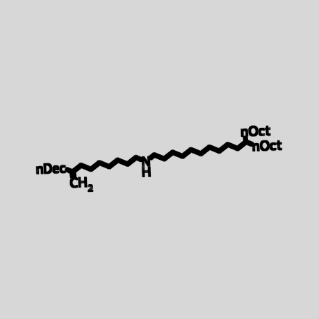 C=C(CCCCCCCCCC)CCCCCCCNCCCCCCCCCCC(CCCCCCCC)CCCCCCCC